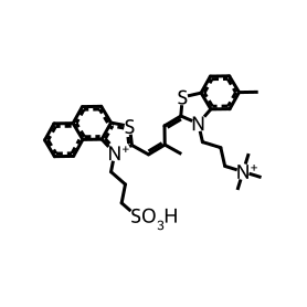 CC(=C/c1sc2ccc3ccccc3c2[n+]1CCCS(=O)(=O)O)/C=C1/Sc2ccc(C)cc2N1CCC[N+](C)(C)C